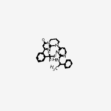 CC(Nc1nccc(N2CCCn3c2nc(-c2ccccc2C(F)(F)F)cc3=O)n1)c1ccccc1